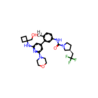 Cc1ccc(NC(=O)N2CC[C@@H](CC(F)(F)F)C2)cc1-c1cc(NC2(CO)CCC2)nc(N2CCOCC2)c1